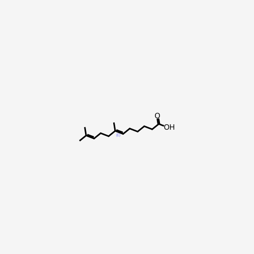 CC(C)=CCC/C(C)=C/CCCCC(=O)O